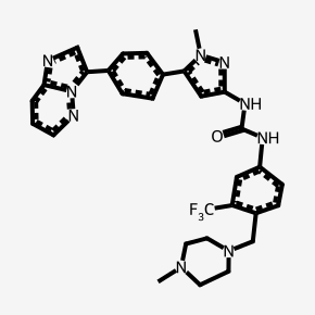 CN1CCN(Cc2ccc(NC(=O)Nc3cc(-c4ccc(-c5cnc6cccnn56)cc4)n(C)n3)cc2C(F)(F)F)CC1